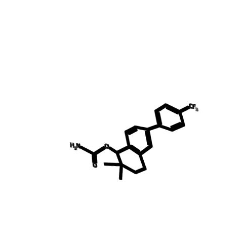 CC1(C)CCc2cc(-c3ccc(C(F)(F)F)cc3)ccc2C1OC(N)=O